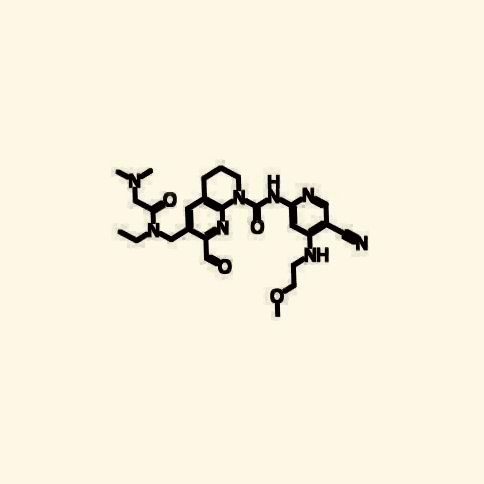 CCN(Cc1cc2c(nc1C=O)N(C(=O)Nc1cc(NCCOC)c(C#N)cn1)CCC2)C(=O)CN(C)C